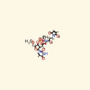 COC[C@H]1O[C@@H](n2ccc(=O)[nH]c2=O)[C@@H](CCCNC(=O)CCN2C(=O)C=CC2=O)C1OP(=O)(O)OC